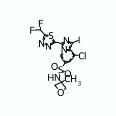 CC1(NS(=O)(=O)c2cc(Cl)c3c(I)nc(-c4nnc(C(F)F)s4)n3c2)COC1